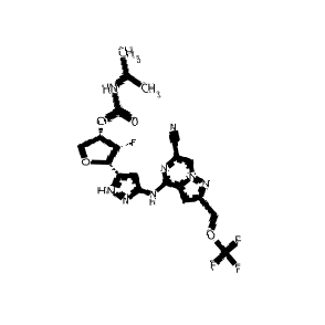 CC(C)NC(=O)O[C@H]1CO[C@@H](c2cc(Nc3nc(C#N)cn4nc(COC(F)(F)F)cc34)n[nH]2)[C@H]1F